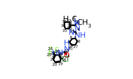 CN(C)c1nc(N[C@H]2CC[C@@H](CNC(=O)Nc3c(Cl)cccc3C(F)(F)F)CC2)nc2c1CCCC2